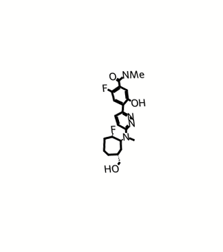 CNC(=O)c1cc(O)c(-c2ccc(N(C)[C@@H]3C[C@H](CO)CCC[C@@H]3F)nn2)cc1F